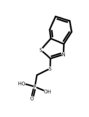 O=P(O)(O)CSc1nc2ccccc2s1